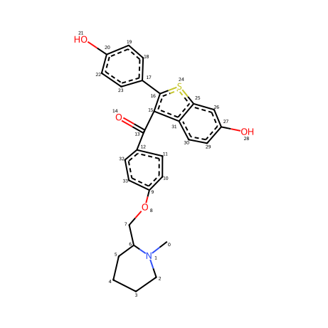 CN1CCCCC1COc1ccc(C(=O)c2c(-c3ccc(O)cc3)sc3cc(O)ccc23)cc1